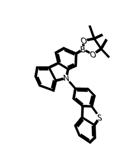 CC1(C)OB(c2ccc3c4ccccc4n(-c4ccc5sc6ccccc6c5c4)c3c2)OC1(C)C